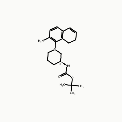 CC(C)(C)OC(=O)N[C@H]1CCCN(c2c(N)ccc3c2CCC=C3)C1